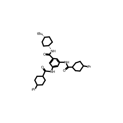 CC(C)C1CCC(C(=O)Nc2cc(NC(=O)C3CCC(C(C)C)CC3)cc(C(=O)N[C@H]3CC[C@@H](C(C)(C)C)CC3)c2)CC1